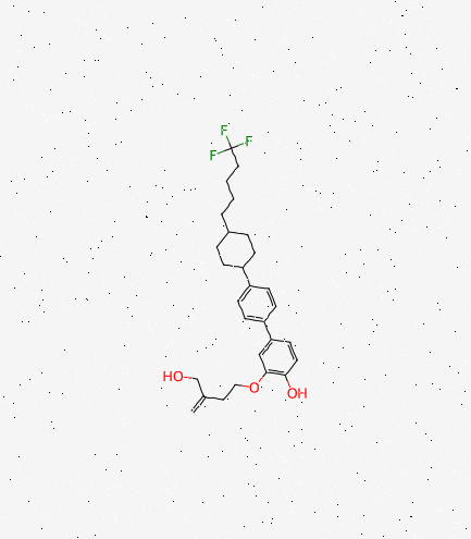 C=C(CO)CCOc1cc(-c2ccc(C3CCC(CCCCC(F)(F)F)CC3)cc2)ccc1O